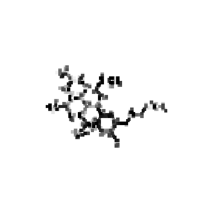 C=CCOCc1cc([C@@H]2O[C@H](SC)[C@@H](OC(C)=O)[C@H](OC(C)=O)[C@H]2OC(C)=O)ccc1F